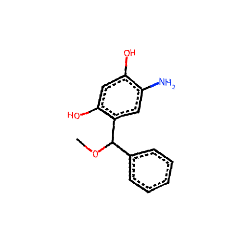 COC(c1ccccc1)c1cc(N)c(O)cc1O